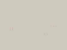 O=C(O)CCCC(=O)c1sccc1O